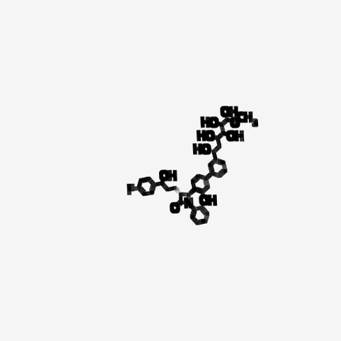 COC(O)[C@H](O)[C@@H](O)[C@H](O)C[C@@H](O)c1cccc(-c2ccc([C@@H]3[C@@H](CC[C@H](O)c4ccc(F)cc4)C(=O)N3c3ccccc3)c(O)c2)c1